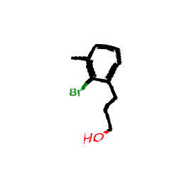 Cc1cccc(CCCO)c1Br